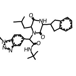 CC(C)CC1C(=O)NC(C2Cc3ccccc3C2)C(=O)N1C(C(=O)NC(C)(C)C)c1ccc2c(c1)nnn2C